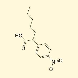 CCCCCC(C(=O)O)c1ccc([N+](=O)[O-])cc1